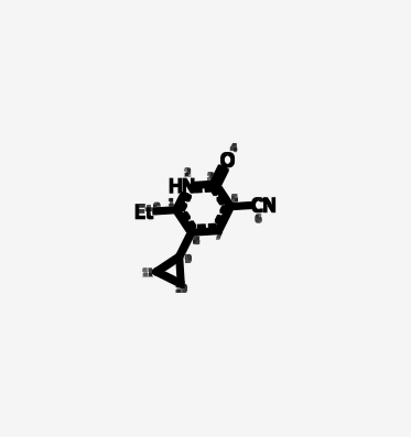 CCc1[nH]c(=O)c(C#N)cc1C1CC1